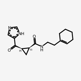 O=C(NCCC1=CCCCC1)[C@H]1C[C@H]1C(=O)c1cnc[nH]1